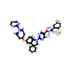 CC1CCCC(C(NC(=O)c2cnc(N3CC4(CCCCC4)c4cc(OC5CCN(c6ncccn6)CC5)ccc43)nc2C(F)(F)F)(C(=O)O)C(C)C)C1